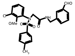 COc1c(Cl)cccc1N(CC(=O)NCc1cccc(C=O)c1)S(=O)(=O)c1ccc(C)cc1